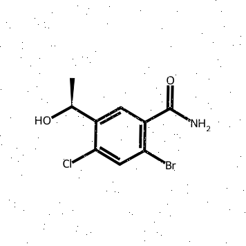 C[C@H](O)c1cc(C(N)=O)c(Br)cc1Cl